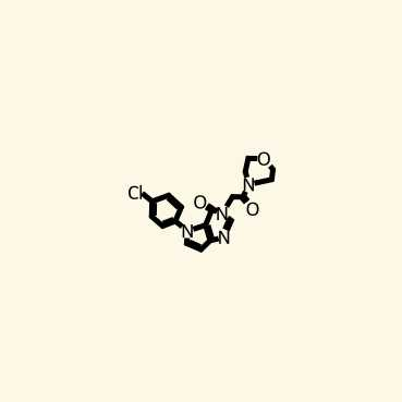 O=C(Cn1cnc2ccn(-c3ccc(Cl)cc3)c2c1=O)N1CCOCC1